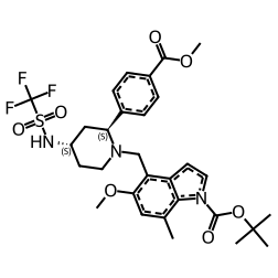 COC(=O)c1ccc([C@@H]2C[C@@H](NS(=O)(=O)C(F)(F)F)CCN2Cc2c(OC)cc(C)c3c2ccn3C(=O)OC(C)(C)C)cc1